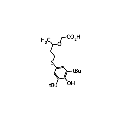 CC(CCSc1cc(C(C)(C)C)c(O)c(C(C)(C)C)c1)OCC(=O)O